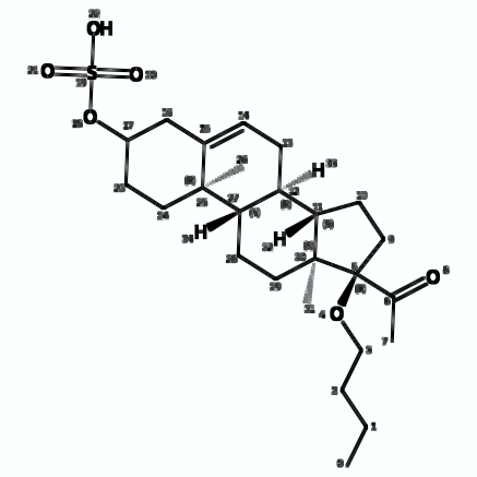 CCCCO[C@]1(C(C)=O)CC[C@H]2[C@@H]3CC=C4CC(OS(=O)(=O)O)CC[C@]4(C)[C@H]3CC[C@@]21C